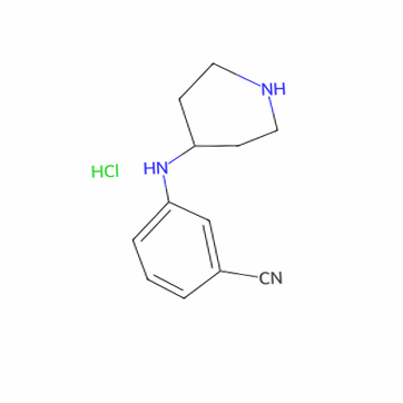 Cl.N#Cc1cccc(NC2CCNCC2)c1